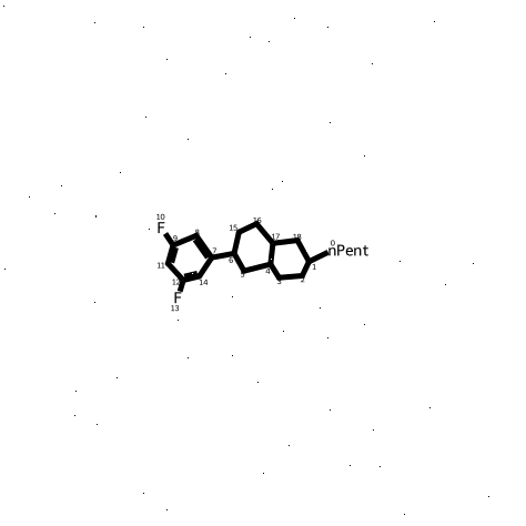 CCCCCC1CCC2CC(c3cc(F)cc(F)c3)CCC2C1